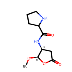 CCO[C@@H]1OC(=O)C[C@@H]1NC(=O)C1CCCN1